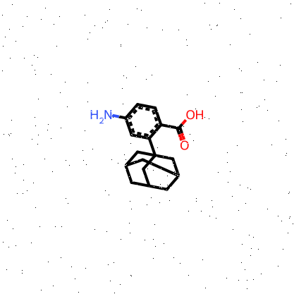 Nc1ccc(C(=O)O)c(C23CC4CC(CC(C4)C2)C3)c1